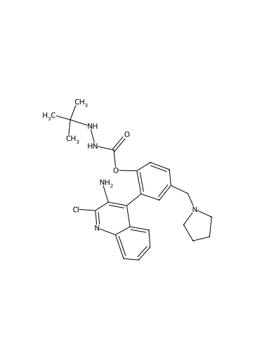 CC(C)(C)NNC(=O)Oc1ccc(CN2CCCC2)cc1-c1c(N)c(Cl)nc2ccccc12